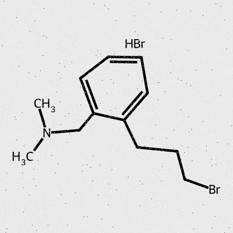 Br.CN(C)Cc1ccccc1CCCBr